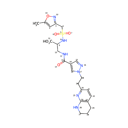 Cc1cc(CS(=O)(=O)NC(CNC(=O)c2cnn(CCc3ccc4c(n3)NCCC4)c2)C(=O)O)no1